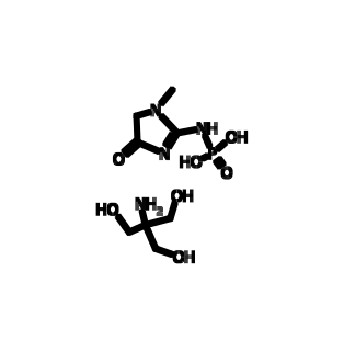 CN1CC(=O)N=C1NP(=O)(O)O.NC(CO)(CO)CO